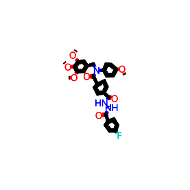 COc1ccc(N(Cc2cc(OC)c(OC)c(OC)c2)C(=O)c2ccc(C(=O)NNC(=O)c3ccc(F)cc3)cc2)cc1